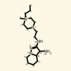 CCC[N+]1(C)CCN(CCNC2=NN3CCCCC3C2N)CC1